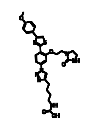 COc1ccc(-c2csc(-c3ccc(-n4cc(CCCCNC(=O)O)nn4)cc3OCCN3CCNC3=O)n2)cc1